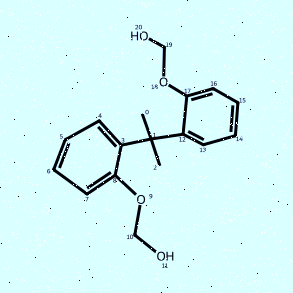 CC(C)(c1ccccc1OCO)c1ccccc1OCO